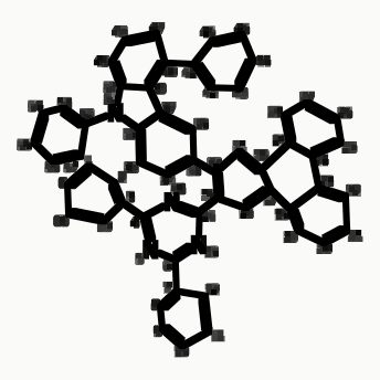 c1ccc(-c2nc(-c3ccccc3)nc(-c3cc4c5ccccc5c5ccccc5c4cc3-c3ccc4c(c3)c3c(-c5ccccc5)cccc3n4-c3ccccc3)n2)cc1